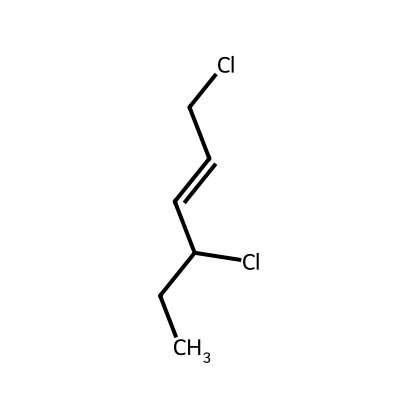 CCC(Cl)/C=C/CCl